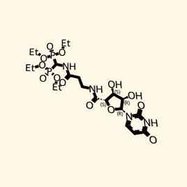 CCOP(=O)(OCC)C(NC(=O)CCNC(=O)[C@H]1O[C@@H](n2ccc(=O)[nH]c2=O)[C@H](O)[C@@H]1O)P(=O)(OCC)OCC